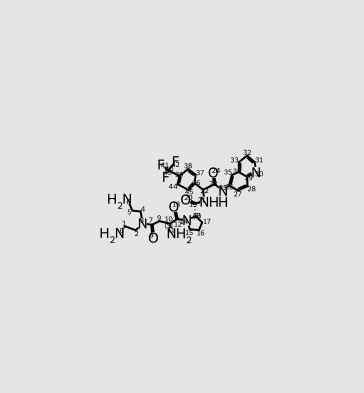 NCCN(CCN)C(=O)C[C@H](N)C(=O)N1CCC[C@H]1C(=O)NC(C(=O)Nc1ccc2ncccc2c1)c1ccc(C(F)(F)F)cc1